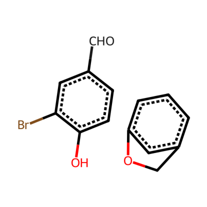 O=Cc1ccc(O)c(Br)c1.c1cc2cc(c1)OC2